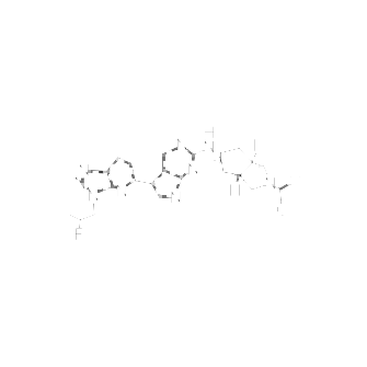 CC(=O)N1C[C@H]2C[C@@H](Nc3ncc4c(-c5ccc6nnn(CC(F)F)c6n5)c[nH]c4n3)C[C@H]2C1